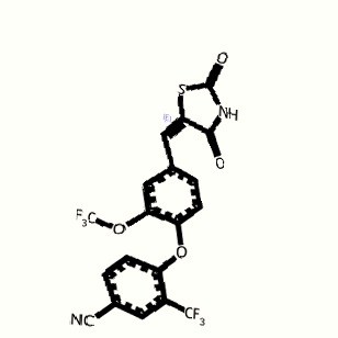 N#Cc1ccc(Oc2ccc(/C=C3/SC(=O)NC3=O)cc2OC(F)(F)F)c(C(F)(F)F)c1